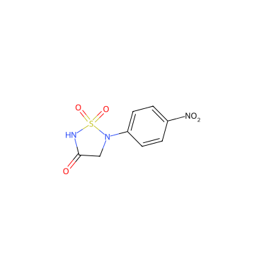 O=C1CN(c2ccc([N+](=O)[O-])cc2)S(=O)(=O)N1